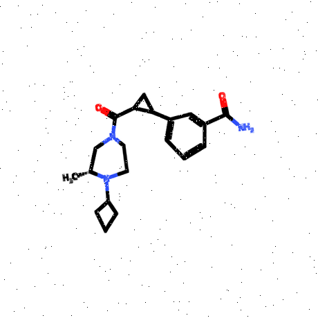 C[C@@H]1CN(C(=O)C2CC2c2cccc(C(N)=O)c2)CCN1C1CCC1